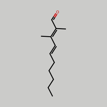 CCCCC/C=C/C(C)=C(\C)C=O